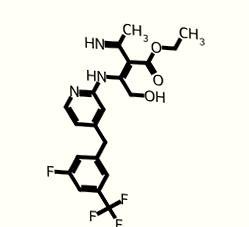 CCOC(=O)/C(C(C)=N)=C(\CO)Nc1cc(Cc2cc(F)cc(C(F)(F)F)c2)ccn1